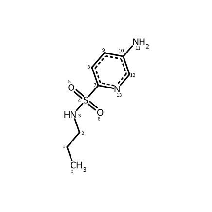 CCCNS(=O)(=O)c1ccc(N)cn1